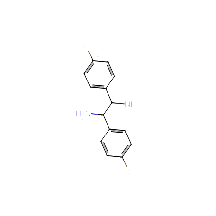 NC(c1ccc(Br)cc1)C(N)c1ccc(Br)cc1